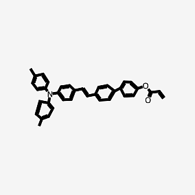 C=CC(=O)Oc1ccc(-c2ccc(C=Cc3ccc(N(c4ccc(C)cc4)c4ccc(C)cc4)cc3)cc2)cc1